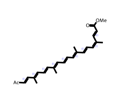 COC(=O)/C=C/C(C)=C\C=C\C(C)=C\C=C\C=C(C)\C=C\C=C(C)\C=C\C(C)=O